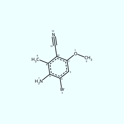 COc1cc(Br)c(N)c(C)c1C#N